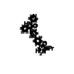 C=CN(C(=O)N(N)C(C)C)c1ccc(N2CCN(C(C(=O)Nc3ccncc3)c3ccccc3)CC2)cc1